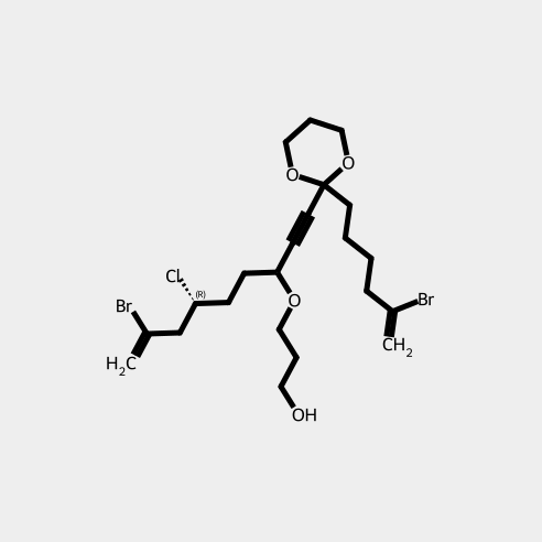 C=C(Br)CCCCC1(C#CC(CC[C@@H](Cl)CC(=C)Br)OCCCO)OCCCO1